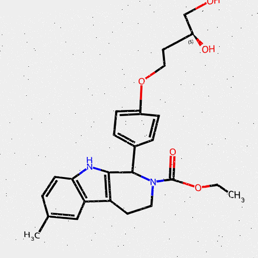 CCOC(=O)N1CCc2c([nH]c3ccc(C)cc23)C1c1ccc(OCC[C@H](O)CO)cc1